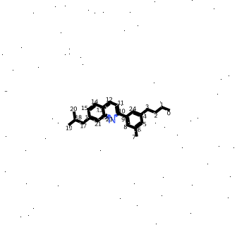 CCCCc1cc(C)cc(-c2ccc3ccc(CC(C)C)cc3n2)c1